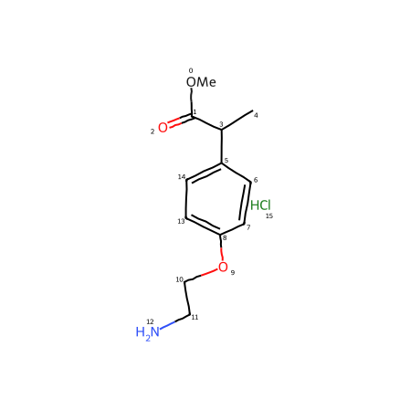 COC(=O)C(C)c1ccc(OCCN)cc1.Cl